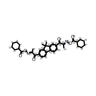 C/C(=N\OC(=O)C1CCCCC1)C(=O)c1ccc2c(c1)C(C)(C)c1cc(C(=O)/C(C)=N/OC(=O)C3CCCCC3)ccc1-2